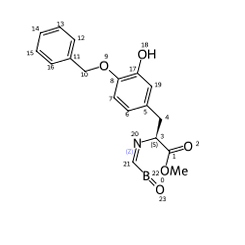 COC(=O)[C@H](Cc1ccc(OCc2ccccc2)c(O)c1)/N=C\B=O